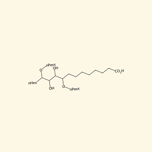 CCCCCCC(OCCCCC)C(O)C(O)C(CCCCCCCC(=O)O)OCCCCC